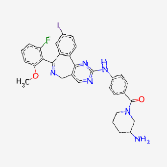 COc1cccc(F)c1C1=NCc2cnc(Nc3ccc(C(=O)N4CCCC(N)C4)cc3)nc2-c2ccc(I)cc21